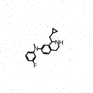 CN(c1cccc(F)c1)c1ccc2c(c1)C(CC1CC1)NCC2